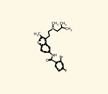 Cc1sc2ccc(NC(=O)c3ccc(F)cc3Br)cc2c1CCN(C)CC(C)C